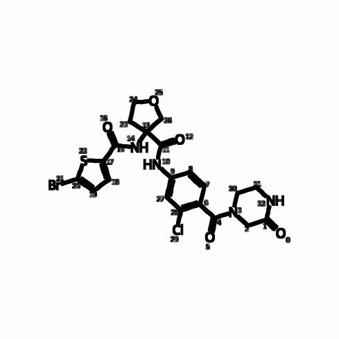 O=C1CN(C(=O)c2ccc(NC(=O)C3(NC(=O)c4ccc(Br)s4)CCOC3)cc2Cl)CCN1